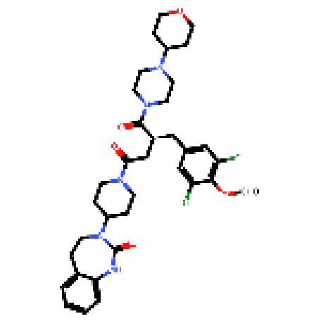 O=COc1c(Cl)cc(C[C@@H](CC(=O)N2CCC(N3CCc4ccccc4NC3=O)CC2)C(=O)N2CCN(C3CCOCC3)CC2)cc1Cl